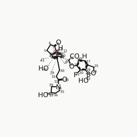 C[C@@H]1CC[C@@]23CCC(=O)[C@H]2[C@@]1(C)[C@H](C(Oc1ccc2c(c1F)B(O)OC2)C(=O)O)C[C@@](C)(CCC(=O)N1CC[C@H](O)C1)[C@@H](O)[C@@H]3C